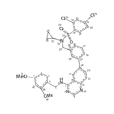 COc1ccc(CNc2ncnc3ccc(-c4cccc(CN(C5CC5)S(=O)(=O)c5ccc(Cl)cc5Cl)c4)cc23)c(OC)c1